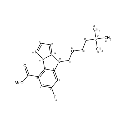 COC(=O)c1cc(F)cc2c1n1nccc1n2COCC[Si](C)(C)C